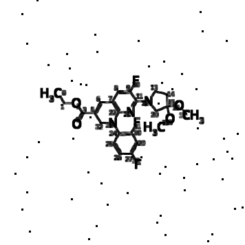 CCOC(=O)C1=Cc2cc(F)c(N3CCC(OC)(OC)C3)nc2N(c2ccc(F)cc2F)C1